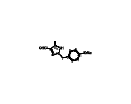 COc1ccc(CN2N=C(C=O)NN2)cc1